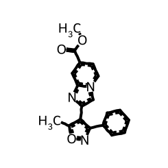 COC(=O)c1ccn2cc(-c3c(-c4ccccc4)noc3C)nc2c1